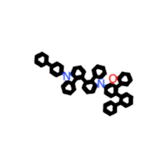 c1ccc(-c2ccc(-n3c4ccccc4c4c(-c5cccc6c5c5ccccc5n6-c5ccc(-c6ccccc6-c6ccccc6)c6c5oc5ccccc56)cccc43)cc2)cc1